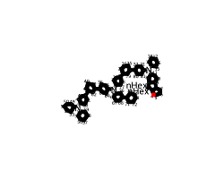 CCCCCCC1(CCCCCC)c2ccccc2-c2ccc(N(c3ccccc3)c3ccc(-c4cccc(-c5ccc(N(c6ccc(-c7cccc(-c8ccc(N(c9ccccc9)c9ccccc9)cc8)c7)cc6)c6cccc(-c7ccccc7)c6)cc5)c4)cc3)cc21